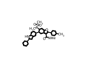 CNC(=O)c1c(-c2ccc(C)cc2)oc2cc(N(C)S(C)(=O)=O)c(-c3ccc4[nH]c(-c5ccccc5)cc4c3)cc12